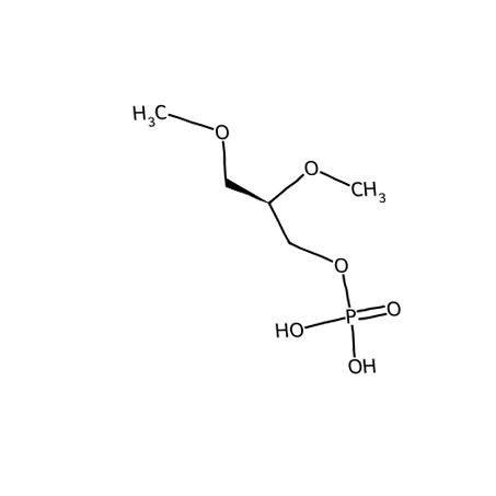 COC[C@H](COP(=O)(O)O)OC